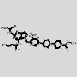 CCCC(CCO)Nc1nc(NC(=O)OC)nc2cnn(Cc3ncc(C4CCN(C5CCN(C(=O)OC(C)(C)C)CC5)CC4)cc3OC)c12